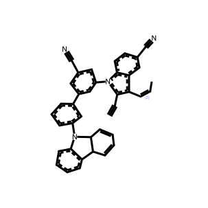 C#Cc1c(/C=C\C)c2cc(C#N)ccc2n1-c1cc(C#N)cc(-c2cccc(N3c4ccccc4C4C=CC=CC43)c2)c1